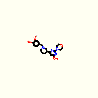 CCOc1cc(CN2CCCC(c3cc(O)nc(N4CCOCC4)n3)C2)ccc1O